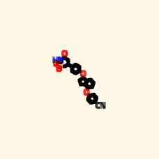 N#Cc1ccc(Oc2cccc3c2CC[C@H]3Oc2ccc(C3CC(=O)NS(=O)(=O)C3)cc2)cc1